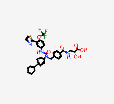 O=C(NC[C@@H](O)C(=O)O)c1ccc(CN(C(=O)Nc2ccc(OC(F)(F)F)c(-c3nccs3)c2)c2ccc(C3=CCCCC3)cc2)cc1